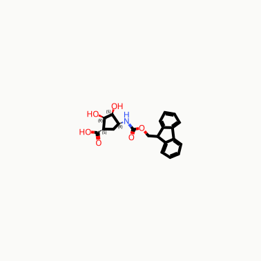 O=C(N[C@@H]1C[C@H](C(=O)O)[C@@H](O)[C@H]1O)OCC1c2ccccc2-c2ccccc21